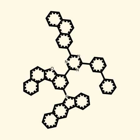 c1ccc(-c2cccc(-c3nc(-c4ccc5c(ccc6ccccc65)c4)nc(-c4cc(-n5c6ccccc6c6cc7ccccc7cc65)cc5c4oc4ccc6ccccc6c45)n3)c2)cc1